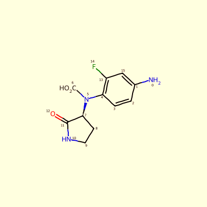 Nc1ccc(N(C(=O)O)[C@H]2CCNC2=O)c(F)c1